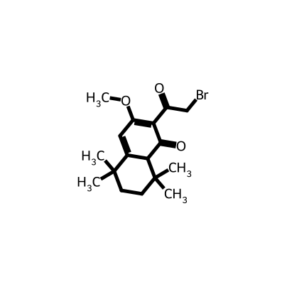 COC1=C(C(=O)CBr)C(=O)C2C(=C1)C(C)(C)CCC2(C)C